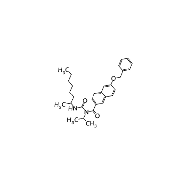 CCCCCCC(C)NC(=O)N(C(=O)c1ccc2cc(OCc3ccccc3)ccc2c1)C(C)C